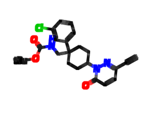 C#Cc1ccc(=O)n(C2CCC(CNC(=O)OC(C)(C)C)(c3cccc(Cl)c3)CC2)n1